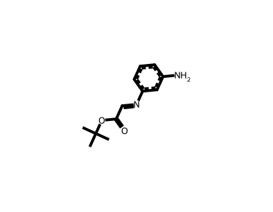 CC(C)(C)OC(=O)C=Nc1cccc(N)c1